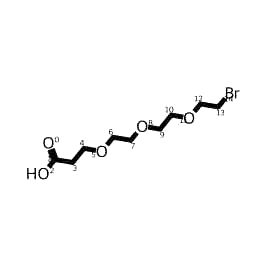 O=C(O)CCOCCOCCOCCBr